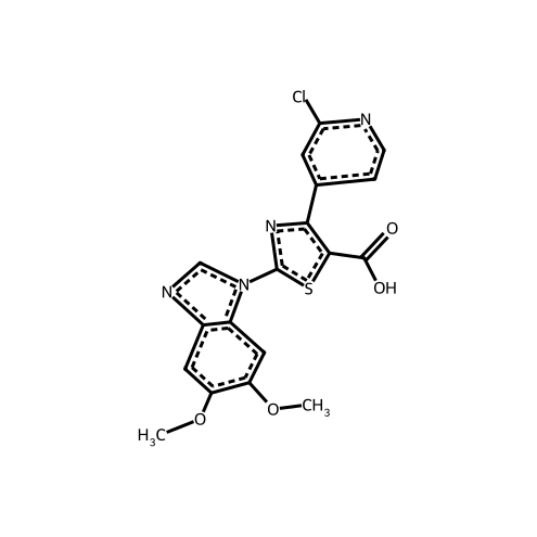 COc1cc2ncn(-c3nc(-c4ccnc(Cl)c4)c(C(=O)O)s3)c2cc1OC